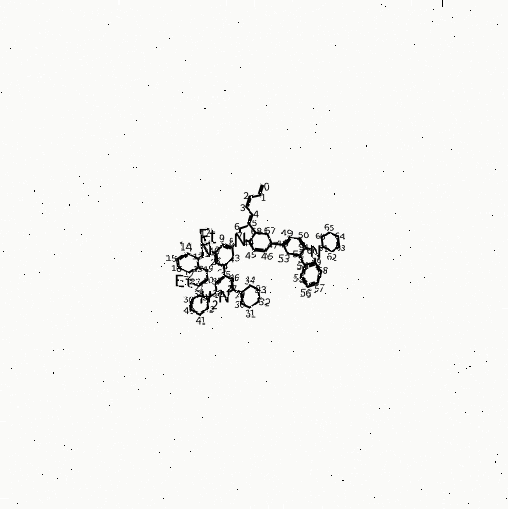 C=C/C=C\C=C1/CN(C2=CC(N(CC)C3C=CCCC3C/C=C\CC)=CC(C(/C=C(\N)C3=CCCCC3)=C/CC3CC=CCC3)C2)C2C=CC(C3=CC=C4C(C3)c3ccccc3N4C3CC=CCC3)CC12